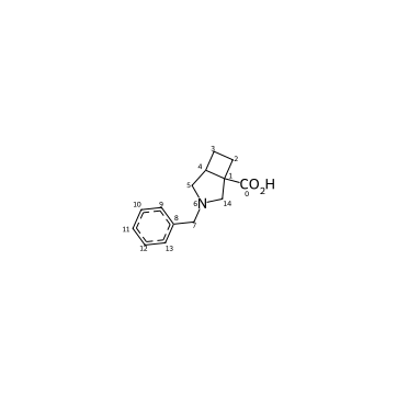 O=C(O)C12CCC1CN(Cc1ccccc1)C2